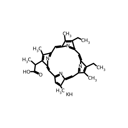 CCC1=C(C)C2=NC1=CC1=NC(=CC3=NC(=CC4=NC(=C2)C(C)=C4)C(C(C)C(=O)O)=C3C)C(C)=C1CC.[KH]